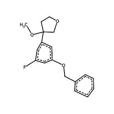 COC1(c2cc(F)cc(OCc3ccccc3)c2)CCOC1